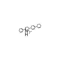 CC(C)C1NC(C2=CCCC=C2)=CCC1C1C=CC(C2C=CCCC2)=CC1